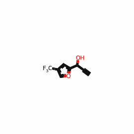 C#CC(O)c1cc(C(F)(F)F)co1